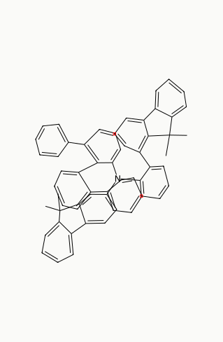 CC1(C)c2ccccc2-c2ccc(N(c3ccccc3-c3cccc4c3C(C)(C)c3ccccc3-4)c3cccc(-c4ccccc4)c3-c3ccccc3-c3ccccc3)cc21